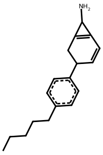 CCCCCc1ccc(C2C=CC3=C(C2)C3N)cc1